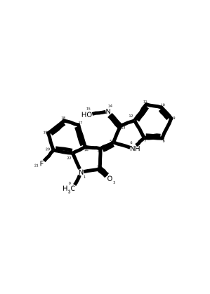 CN1C(=O)/C(=C2\Nc3ccccc3\C2=N\O)c2cccc(F)c21